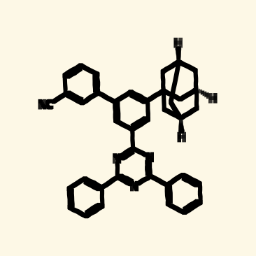 N#Cc1cccc(-c2cc(-c3nc(-c4ccccc4)nc(-c4ccccc4)n3)cc(C34C[C@H]5C[C@@H](C3)C[C@@H](C4)C5)c2)c1